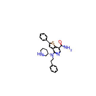 NC(=O)c1cnc(N(CCc2ccccc2)[C@H]2CCCNC2)c2cc(-c3ccccc3)sc12